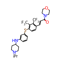 CC(C)N1CCC(Nc2cccc(Sc3ccc(/C=C/C(=O)N4CCOCC4)c(C(F)(F)F)c3C(F)(F)F)c2)CC1